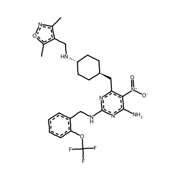 Cc1noc(C)c1CN[C@H]1CC[C@H](Cc2nc(NCc3ccccc3OC(F)(F)F)nc(N)c2[N+](=O)[O-])CC1